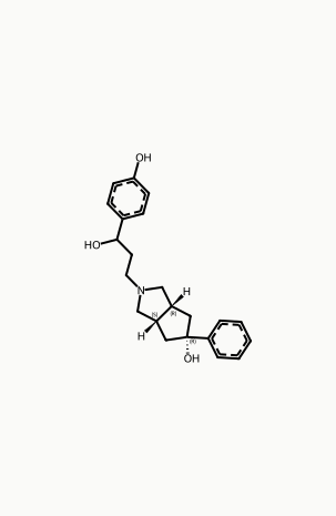 Oc1ccc(C(O)CCN2C[C@@H]3C[C@@](O)(c4ccccc4)C[C@@H]3C2)cc1